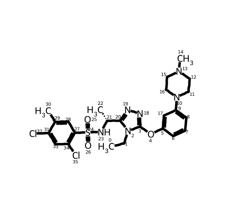 CCn1c(Oc2cccc(N3CCN(C)CC3)c2)nnc1[C@@H](C)NS(=O)(=O)c1cc(C)c(Cl)cc1Cl